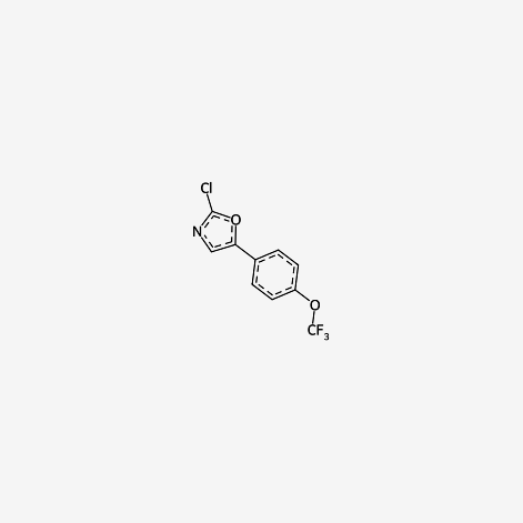 FC(F)(F)Oc1ccc(-c2cnc(Cl)o2)cc1